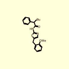 CCC(C)C(C(=O)Nc1ncc(Cc2ccccc2OC)s1)c1ccccc1